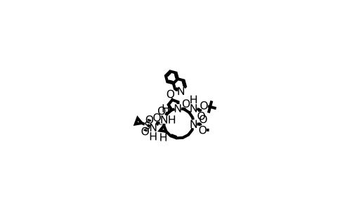 COC(=O)N1CCC/C=C\[C@@H]2C[C@@]2(C(=O)NS(=O)(=O)C2CC2)NC(=O)[C@@H]2C[C@@H](Oc3nccc4ccccc34)CN2C(=O)[C@@H](NC(=O)OC(C)(C)C)C1